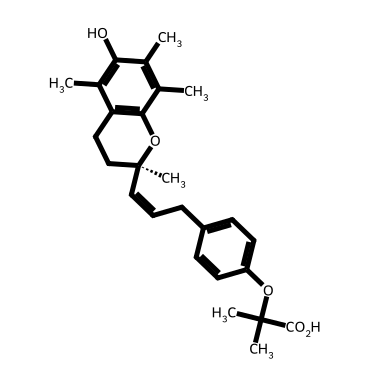 Cc1c(C)c2c(c(C)c1O)CC[C@](C)(/C=C\Cc1ccc(OC(C)(C)C(=O)O)cc1)O2